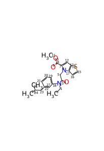 CCN(C(=O)Cn1c(C(=O)OC)cc2sccc21)c1cccc(CC(C)C)c1